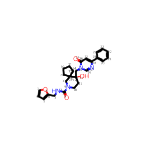 O=C(NCc1ccco1)N1CC[C@@](O)(Cn2cnc(-c3ccccc3)cc2=O)C2(CCCC2)C1